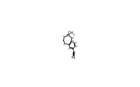 CN1CCCc2cc(C#N)ccc2C1